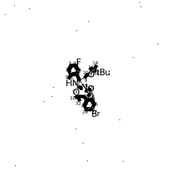 Cc1ccc(F)cc1[C@H](CCO[Si](C)(C)C(C)(C)C)NC1=NS(=O)(=O)C(c2ccc(Br)cc2)C(C)(C)O1